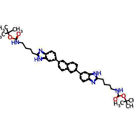 CC(C)(C)OC(=O)NCCCCc1nc2ccc(-c3ccc4cc(-c5ccc6nc(CCCCNC(=O)OC(C)(C)C)[nH]c6c5)ccc4c3)cc2[nH]1